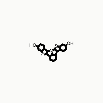 Oc1ccc2c(c1)oc1c3cccc4c5c6ccc(O)cc6sc5n(c34)c21